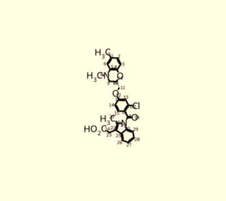 Cc1ccc2c(c1)N(C)C[C@@H](COc1ccc(C(=O)n3c(C)c(CC(=O)O)c4ccccc43)c(Cl)c1)O2